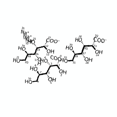 O=C([O-])[C@H](O)[C@@H](O)[C@H](O)[C@H](O)CO.O=C([O-])[C@H](O)[C@@H](O)[C@H](O)[C@H](O)CO.O=C([O-])[C@H](O)[C@@H](O)[C@H](O)[C@H](O)CO.[Na+].[Na+].[Na+]